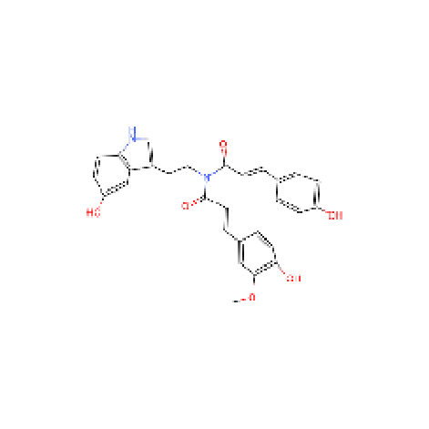 COc1cc(C=CC(=O)N(CCc2c[nH]c3ccc(O)cc23)C(=O)C=Cc2ccc(O)cc2)ccc1O